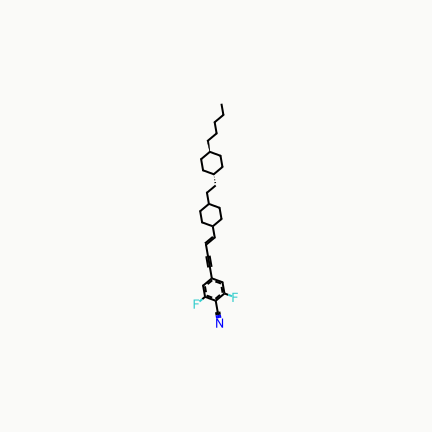 CCCCC[C@H]1CC[C@H](CCC2CCC(/C=C/C#Cc3cc(F)c(C#N)c(F)c3)CC2)CC1